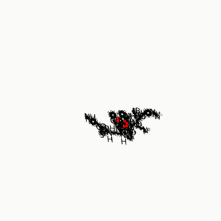 CN(C)CCCC[C@H](NC(=O)[C@H](CSSC(C)(C)C)CC(=O)OCc1ccc(N=[N+]=[N-])cc1)C(=O)N[C@@H](Cc1c[nH]c2ccccc12)C(=O)OCC(=O)N1CCC[C@H]1C(=O)N[C@@H](CCCCNC(=O)C1CSCN1C(=O)OCc1ccc(N=N)cc1)C(=O)N[C@@H](CC(=O)SCc1ccccc1)C(=O)N1CCC[C@H]1C(N)=O